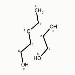 OCCO.[CH2]COCCO